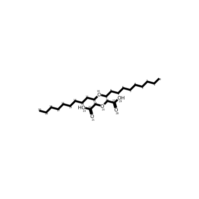 CCCCCCCCCCOCCCCCCCCCC.O=C(O)COCC(=O)O